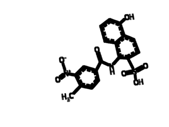 Cc1ccc(C(=O)Nc2c(S(=O)(=O)O)ccc3c(O)cccc23)cc1[N+](=O)[O-]